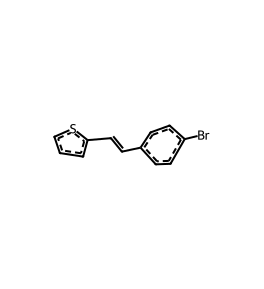 Brc1ccc(/C=C/c2cccs2)cc1